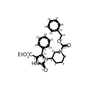 CCOC(=O)c1[nH]c(=O)n(C2CCCN(C(=O)OCc3ccccc3)C2)c1-c1ccccc1